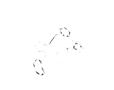 COc1ccc(-n2nnnc2C(F)(F)F)cc1C1=CC2(CCCN(Cc3ccccc3)C2)OC1.Cl